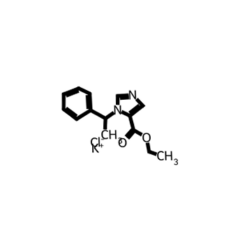 CCOC(=O)c1cncn1C(C)c1ccccc1.[Cl-].[K+]